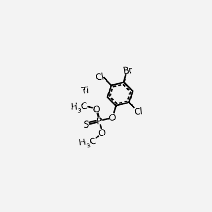 COP(=S)(OC)Oc1cc(Cl)c(Br)cc1Cl.[Ti]